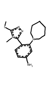 CSc1nnc(-c2ccc(N)cc2N2CCCCCC2)n1C